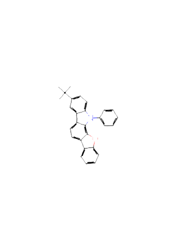 CC(C)(C)c1ccc2c(c1)c1ccc3c4ccccc4oc3c1n2-c1ccccc1